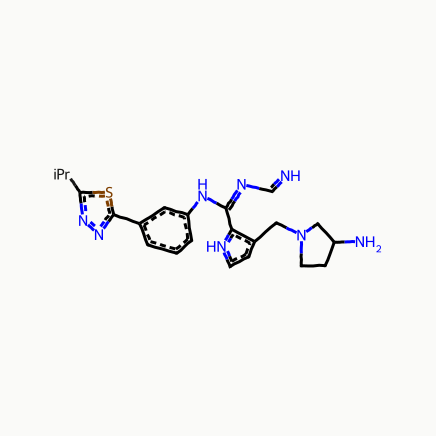 CC(C)c1nnc(-c2cccc(N/C(=N/C=N)c3[nH]ccc3CN3CCC(N)C3)c2)s1